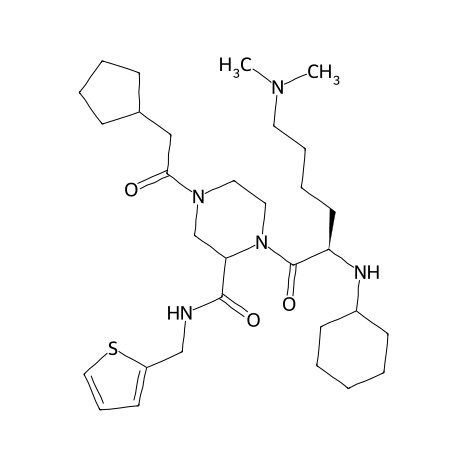 CN(C)CCCC[C@@H](NC1CCCCC1)C(=O)N1CCN(C(=O)CC2CCCC2)CC1C(=O)NCc1cccs1